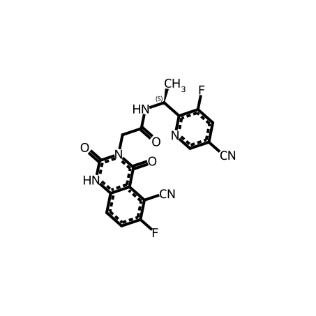 C[C@H](NC(=O)Cn1c(=O)[nH]c2ccc(F)c(C#N)c2c1=O)c1ncc(C#N)cc1F